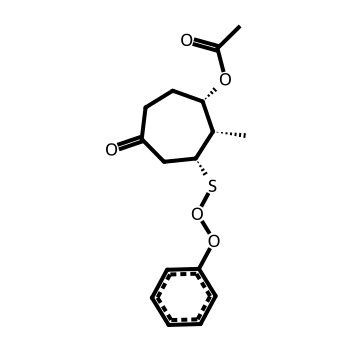 CC(=O)O[C@H]1CCC(=O)C[C@@H](SOOc2ccccc2)[C@H]1C